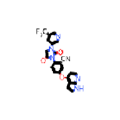 N#Cc1cc(Oc2ccnc3[nH]ccc23)ccc1N1C(=O)CN(c2cncc(C(F)(F)F)c2)C1=O